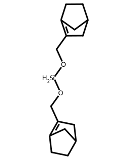 C1CC2CC1=C(CO[SiH2]OCC1=C3CCC(C3)C1)C2